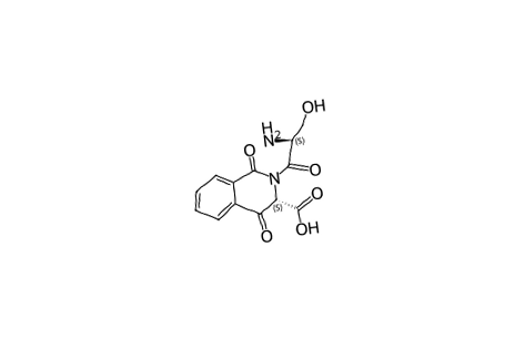 N[C@@H](CO)C(=O)N1C(=O)c2ccccc2C(=O)[C@H]1C(=O)O